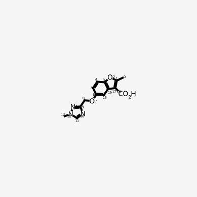 Cc1oc2ccc(OCc3ncn(C)n3)cc2c1C(=O)O